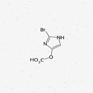 O=C(O)Oc1c[nH]c(Br)n1